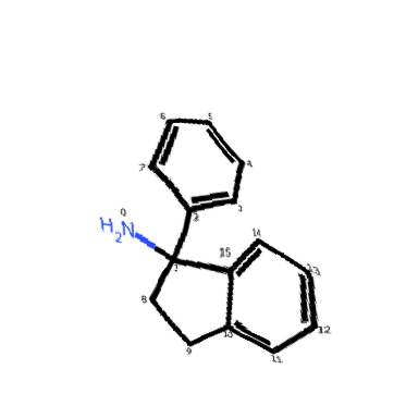 NC1(c2ccccc2)CCc2ccccc21